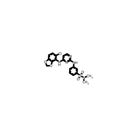 CN(C)S(=O)(=O)c1cccc(Nc2nccc(Nc3c(Cl)ccc4c3OCO4)n2)c1